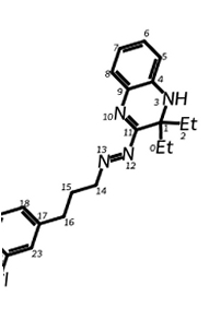 CCC1(CC)Nc2ccccc2N=C1N=NCCCc1cccc(Cl)c1